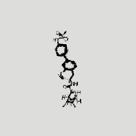 C[C@@H]1[C@H](C)[C@@H]2C[C@@H]1[C@@H](C(=O)N[C@H](C#N)Cc1ccc(-c3ccc(NS(C)(=O)=O)cc3)cc1F)N2